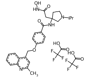 Cc1cc(COc2ccc(C(=O)NC3(CC(=O)NO)CCN(C(C)C)C3)cc2)c2ccccc2n1.O=C(O)C(F)(F)F.O=C(O)C(F)(F)F